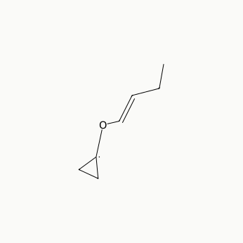 CCC=CO[C]1CC1